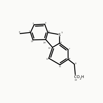 Cc1ccc2sc3cc(CC(=O)O)ccc3c2c1